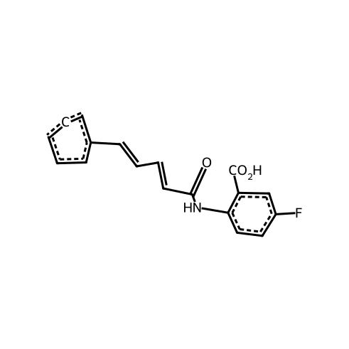 O=C(C=CC=Cc1ccccc1)Nc1ccc(F)cc1C(=O)O